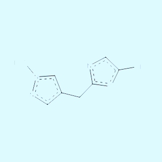 Cc1cnc(Cc2cnn(C)c2)o1